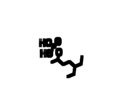 CCC(CC)CCC(C)OP(=O)(O)O